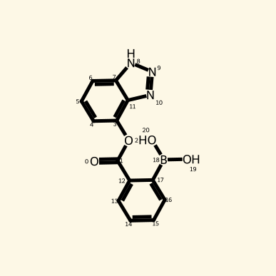 O=C(Oc1cccc2[nH]nnc12)c1ccccc1B(O)O